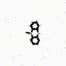 CN1c2cc[c]cc2Sc2ccccc21